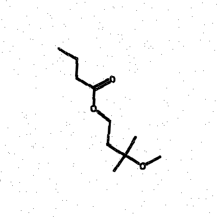 CCCC(=O)OCCC(C)(C)OC